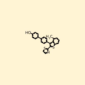 Cc1cccc2sc(-c3nccs3)c(-c3ccc(-c4ccc(O)cc4)cc3)c12